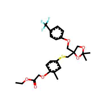 CCOC(=O)COc1ccc(SCC2(COc3ccc(C(F)(F)F)cc3)COC(C)(C)O2)cc1C